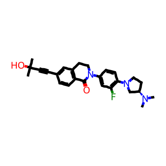 CN(C)[C@@H]1CCN(c2ccc(N3CCc4cc(C#CC(C)(C)O)ccc4C3=O)cc2F)C1